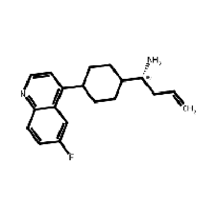 C=CC[C@@H](N)C1CCC(c2ccnc3ccc(F)cc23)CC1